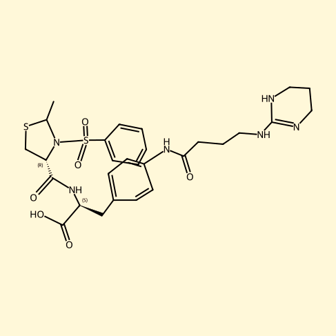 CC1SC[C@@H](C(=O)N[C@@H](Cc2ccc(NC(=O)CCCNC3=NCCCN3)cc2)C(=O)O)N1S(=O)(=O)c1ccccc1